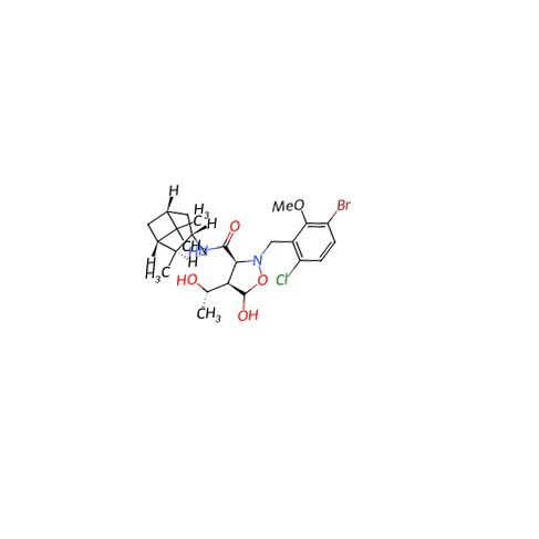 COc1c(Br)ccc(Cl)c1CN1OC(O)[C@@H]([C@H](C)O)[C@H]1C(=O)N[C@H]1C[C@H]2C[C@@H]([C@@H]1C)C2(C)C